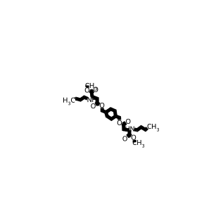 CCCCNC(CC(=O)OCC1CCC(COC(=O)CC(NCCCC)C(=O)OC)CC1)C(=O)OC